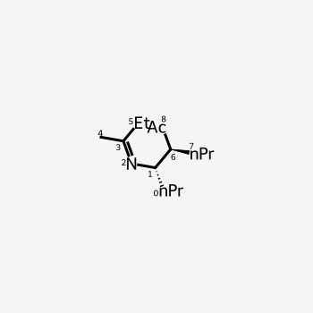 CCC[C@H](/N=C(/C)CC)[C@H](CCC)C(C)=O